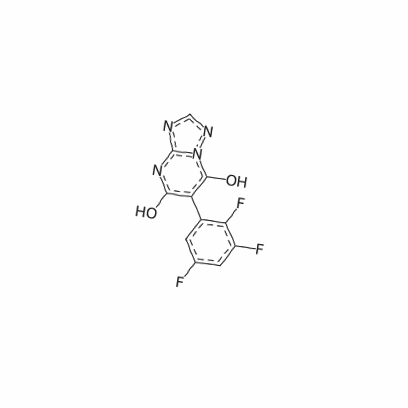 Oc1nc2ncnn2c(O)c1-c1cc(F)cc(F)c1F